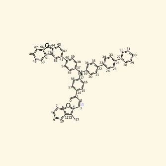 C=C(/C=C\c1oc2ccccc2c1C)c1ccc(N(c2ccc(-c3ccc(-c4ccccc4)cc3)cc2)c2ccc(-c3ccc4oc5ccccc5c4c3)cc2)cc1